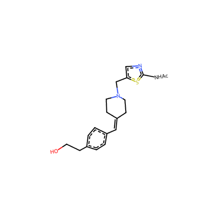 CC(=O)Nc1ncc(CN2CCC(=Cc3ccc(CCO)cc3)CC2)s1